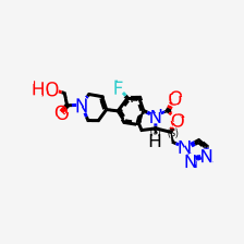 O=C(CO)N1CC=C(c2cc3c(cc2F)N2C(=O)O[C@@H](Cn4ccnn4)[C@@H]2C3)CC1